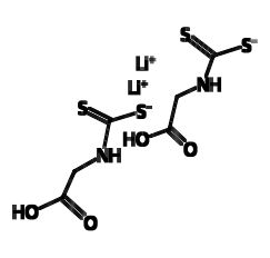 O=C(O)CNC(=S)[S-].O=C(O)CNC(=S)[S-].[Li+].[Li+]